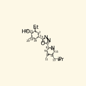 CCc1cc(-c2nnc(-c3cc(C)c(CC(C)C)cn3)o2)cc(C)c1O